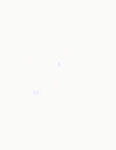 C=C1C=C(C)C2=C(N1)C(=O)c1c(c(C)cc(=O)n1CCCCC)C2=O